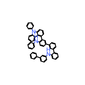 c1ccc(Nc2ccc(-c3cccc(-c4ccccc4Nc4cccc(-c5ccccc5)c4)c3)cc2-c2cccc3c2c2ccccc2n3-c2ccccc2)cc1